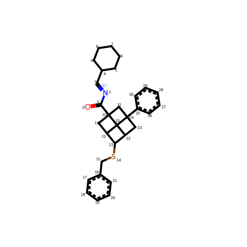 O=C(/N=C/C1CCCCC1)C12CC3C(SCc4ccccc4)C4CC(c5ccccc5)(C1)C342